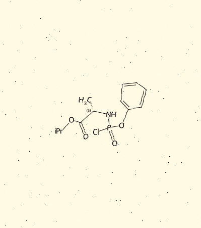 CC(C)OC(=O)[C@H](C)NP(=O)(Cl)Oc1ccccc1